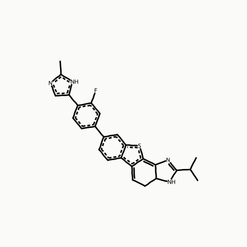 Cc1ncc(-c2ccc(-c3ccc4c5c(sc4c3)=C3N=C(C(C)C)NC3CC=5)cc2F)[nH]1